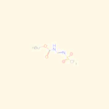 CCCCOC(=O)NC=NS(=O)(=O)C(F)(F)F